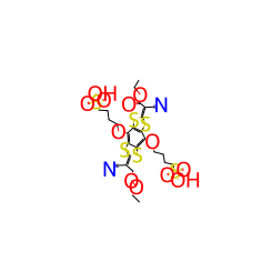 CCOOCC(C#N)=C1Sc2c(OCCCCS(=O)(=O)O)c3c(c(OCCCCS(=O)(=O)O)c2S1)SC(=C(C#N)C(=O)OCC)S3